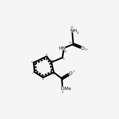 COC(=O)c1ccccc1CNC(N)=O